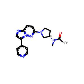 CCCC(=O)N(C)[C@H]1CCN(c2ccc3ncc(-c4ccncc4)n3n2)C1